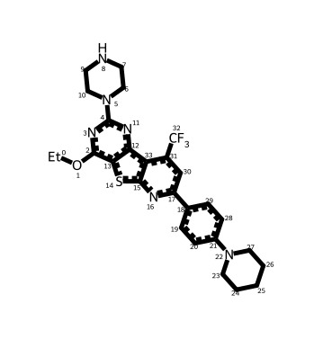 CCOc1nc(N2CCNCC2)nc2c1sc1nc(-c3ccc(N4CCCCC4)cc3)cc(C(F)(F)F)c12